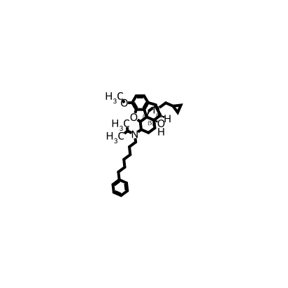 COc1ccc2c3c1OC1C(N(CCCCCCc4ccccc4)C(C)C)CC[C@@]4(O)[C@@H](C2)N(CC2CC2)CC[C@]314